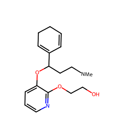 CNCCC(Oc1cccnc1OCCO)C1=CCCC=C1